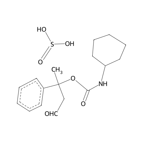 CC(CC=O)(OC(=O)NC1CCCCC1)c1ccccc1.O=S(O)O